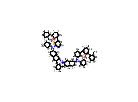 Cc1ccccc1-c1cccc2c1oc1c(N(c3ccccc3)c3ccc4cc5c6cccc7c8cc9ccc(N(c%10ccccc%10)c%10cccc%11c%10oc%10c(-c%12ccccc%12C)cccc%10%11)cc9cc8n(c5cc4c3)c67)cccc12